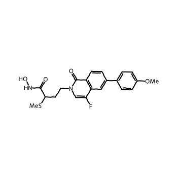 COc1ccc(-c2ccc3c(=O)n(CCC(SC)C(=O)NO)cc(F)c3c2)cc1